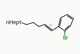 CCCCCCCCCC/C=C/c1ccccc1Br